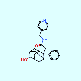 O=C(CC1(c2ccccc2)C2CC3CC1CC(C2)C3O)NCc1ccncc1